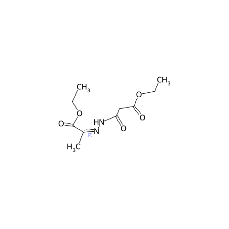 CCOC(=O)CC(=O)N/N=C(/C)C(=O)OCC